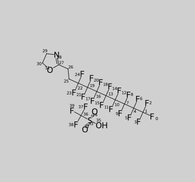 FC(F)(F)C(F)(F)C(F)(F)C(F)(F)C(F)(F)C(F)(F)C(F)(F)C(F)(F)CCC1=NCCO1.O=S(=O)(O)C(F)(F)F